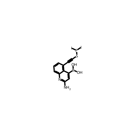 Nc1cc(B(O)O)c2c(C#CSP(I)I)cccc2n1